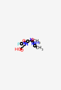 Cc1ccc2nc([C@]3(C)CC(c4ccc5c(=O)n(-c6ccc(F)cc6)c(CCCCC(=O)O)nc5c4)=NO3)[nH]c2c1